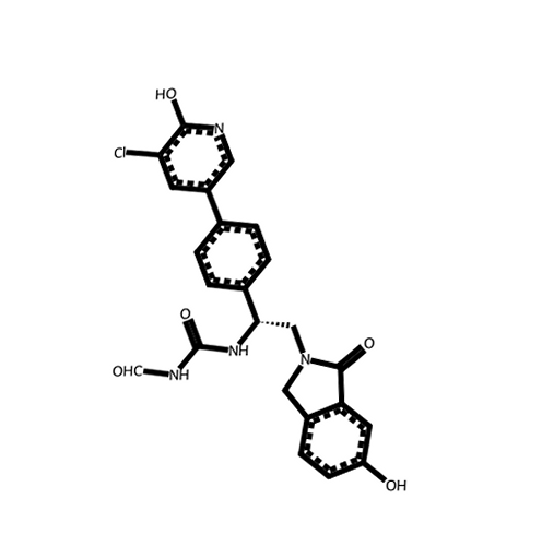 O=CNC(=O)N[C@@H](CN1Cc2ccc(O)cc2C1=O)c1ccc(-c2cnc(O)c(Cl)c2)cc1